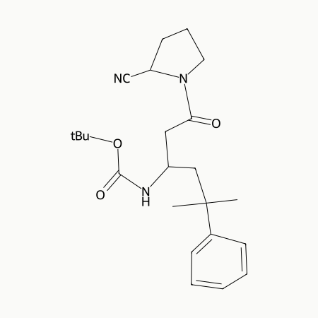 CC(C)(C)OC(=O)NC(CC(=O)N1CCCC1C#N)CC(C)(C)c1ccccc1